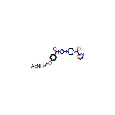 CC(=O)NCCOc1ccc(C(=O)N2CC(N3CCN(C(=O)c4nccs4)CC3)C2)cc1